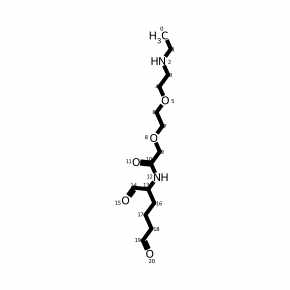 CCNCCOCCOCC(=O)NC(C=O)CCCC=O